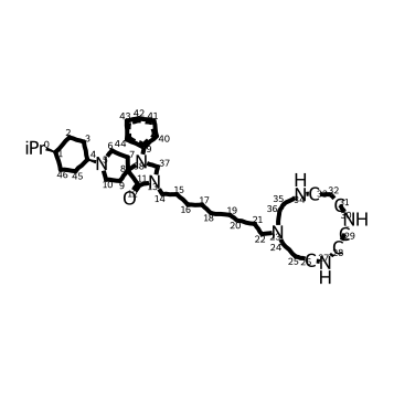 CC(C)[C@H]1CC[C@@H](N2CCC3(CC2)C(=O)N(CCCCCCCCCN2CCCNCCNCCCNCC2)CN3c2ccccc2)CC1